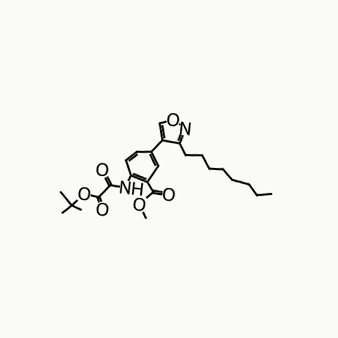 CCCCCCCCc1nocc1-c1ccc(NC(=O)C(=O)OC(C)(C)C)c(C(=O)OC)c1